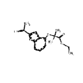 CCOC(=O)C(C)(C)Oc1cccc2sc(C(=N)N)cc12